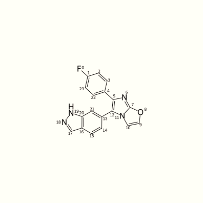 Fc1ccc(-c2nc3occn3c2-c2ccc3cn[nH]c3c2)cc1